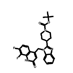 CC(C)(C)OC(=O)N1CCC(c2nc3ccccc3n2Cc2cc(=O)[nH]c3c(F)c(F)ccc23)CC1